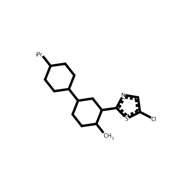 CC(C)C1CCC([C]2CCC(C)C(c3ncc(Cl)s3)C2)CC1